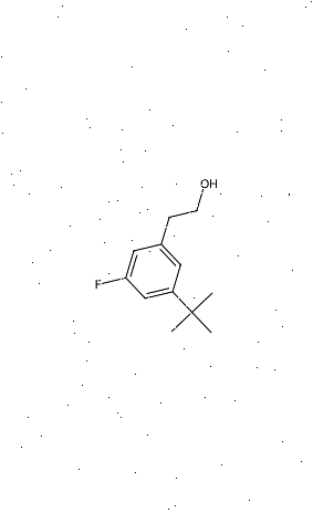 CC(C)(C)c1cc(F)cc(CCO)c1